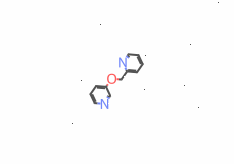 c1ccc(COc2cccnc2)nc1